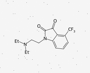 CCN(CC)CCN1C(=O)C(=O)c2c1cccc2C(F)(F)F